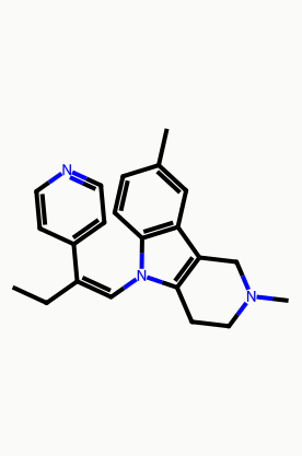 CC/C(=C/n1c2c(c3cc(C)ccc31)CN(C)CC2)c1ccncc1